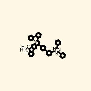 CC1(C)c2ccccc2-c2cc3c(-c4ccc(-c5cccc(-c6nc(-c7ccccc7)nc(-c7ccccc7)n6)c5)cc4)cc(-c4ccccc4-c4ccccc4)nc3cc21